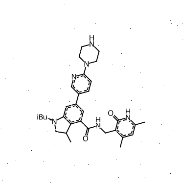 CC[C@H](C)N1CC(C)c2c(C(=O)NCc3c(C)cc(C)[nH]c3=O)cc(-c3ccc(N4CCNCC4)nc3)cc21